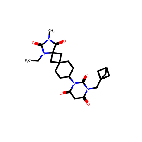 CN1C(=O)N(CC(F)(F)F)C2(CC3(CCC(N4C(=O)CC(=O)N(CC56CC(C5)C6)C4=O)CC3)C2)C1=O